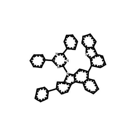 c1ccc(-c2ccc3c4c5ccccc5c(-c5cccc6c5sc5ccccc56)cc4n(-c4nc(-c5ccccc5)nc(-c5ccccc5)n4)c3c2)cc1